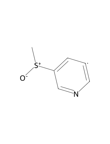 C[S+]([O-])c1c[c]cnc1